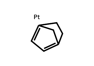 C1=C2CCC(=C1)C2.[Pt]